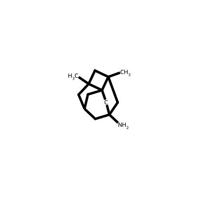 CC12CC3CC4(N)CC(C)(C1)C2(C3)C4